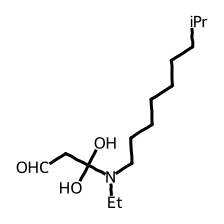 CCN(CCCCCCCC(C)C)C(O)(O)CC=O